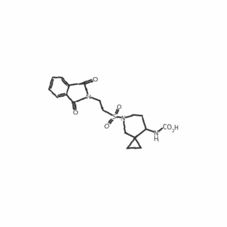 O=C(O)NC1CCN(S(=O)(=O)CCN2C(=O)c3ccccc3C2=O)CC12CC2